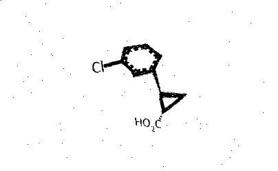 O=C(O)[C@H]1C[C@@H]1c1cccc(Cl)c1